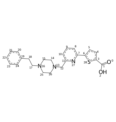 O=C(O)c1ccc(-c2cccc(CN3CCN(CCc4ccccc4)CC3)n2)s1